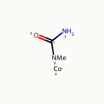 CNC(N)=O.[Co]